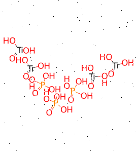 O=P(O)(O)O.O=P(O)(O)O.O=P(O)(O)O.[O]=[Ti]([OH])[OH].[O]=[Ti]([OH])[OH].[O]=[Ti]([OH])[OH].[O]=[Ti]([OH])[OH]